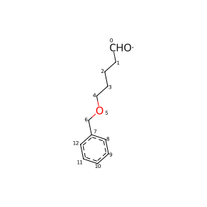 O=[C]CCCCOCc1ccccc1